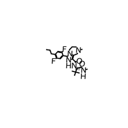 CCCc1cc(F)c(-c2nc(C(=O)N[C@H](C(=O)NC)C(C)(C)C)c3n2CCCN(C)C3)cc1F